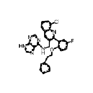 Fc1ccc(OCCc2ccccc2)c(-c2nc3c(Cl)cccc3cc2CNc2ncnc3[nH]cnc23)c1